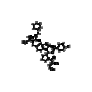 C[C@H](N(Cc1ccc2c(c1)nc(NC(=O)c1ccc(Cl)cc1)n2CC1CCCN1C(=O)C(C#N)=CC(C)(C)C)C(=O)OCc1ccccc1)C(C)(C)C